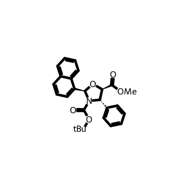 COC(=O)[C@@H]1O[C@H](c2cccc3ccccc23)N(C(=O)OC(C)(C)C)[C@H]1c1ccccc1